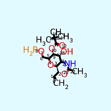 C=CC[C@H]1OC(COP)[C@H](OC(=O)C(C)(C)C)[C@H](O)C1NC(C)=O